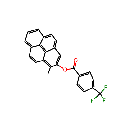 Cc1c(OC(=O)c2ccc(C(F)(F)F)cc2)cc2ccc3cccc4ccc1c2c34